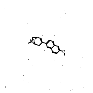 COc1ccc2cc(C3=CC4CC(C)C(C3)N4)ccc2c1